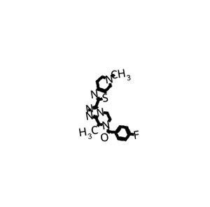 CC1c2nnc(-c3nc4c(s3)CN(C)CC4)n2CCN1C(=O)c1ccc(F)cc1